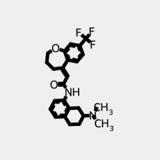 CN(C)C1CCc2cccc(NC(=O)C=C3CCCOc4cc(C(F)(F)F)ccc43)c2C1